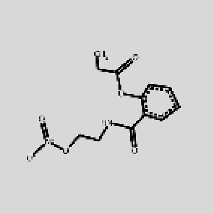 CCC(=O)Oc1ccccc1C(=O)NCCO[N+](=O)[O-]